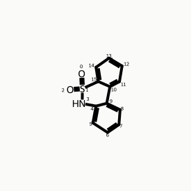 O=S1(=O)Nc2ccccc2-c2cc[c]cc21